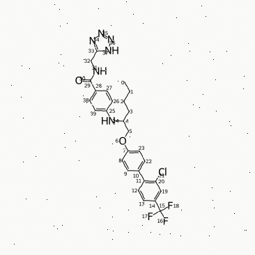 CCCCC(COc1ccc(-c2ccc(C(F)(F)F)cc2Cl)cc1)Nc1ccc(C(=O)NCc2nnn[nH]2)cc1